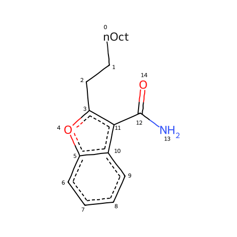 CCCCCCCCCCc1oc2ccccc2c1C(N)=O